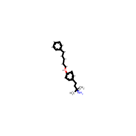 [CH2][C@](C)(N)CCc1ccc(OCCCCCc2ccccc2)cc1